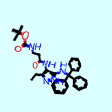 CCc1n[nH]c(NC(c2ccccc2)(c2ccccc2)c2ccccc2)c1NC(=O)CCNC(=O)OC(C)(C)C